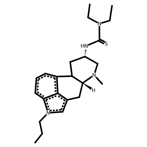 CCCn1cc2c3c(cccc31)C1C[C@H](NC(=S)N(CC)CC)CN(C)[C@@H]1C2